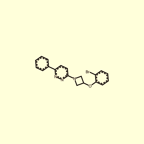 Brc1ccccc1OC1CN(c2ccc(-c3ccccc3)nn2)C1